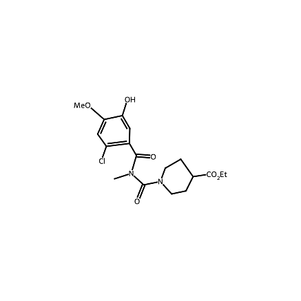 CCOC(=O)C1CCN(C(=O)N(C)C(=O)c2cc(O)c(OC)cc2Cl)CC1